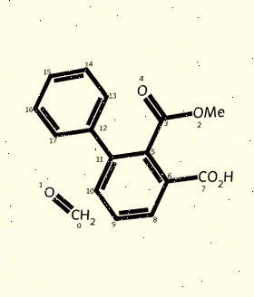 C=O.COC(=O)c1c(C(=O)O)cccc1-c1ccccc1